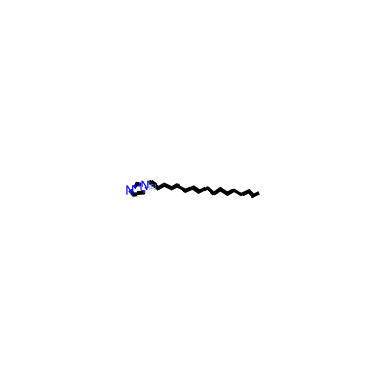 CCCCCCCCCCCCCCC/C=C/N1C=NCC1